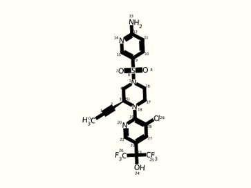 CC#C[C@H]1CN(S(=O)(=O)c2ccc(N)nc2)CCN1c1ncc(C(O)(C(F)(F)F)C(F)(F)F)cc1Cl